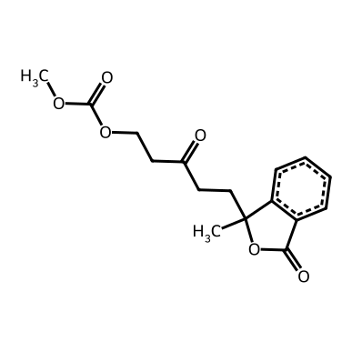 COC(=O)OCCC(=O)CCC1(C)OC(=O)c2ccccc21